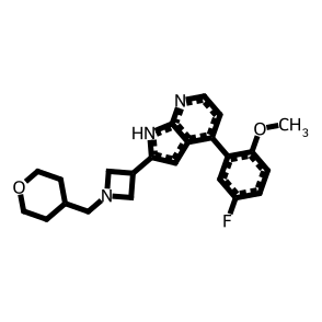 COc1ccc(F)cc1-c1ccnc2[nH]c(C3CN(CC4CCOCC4)C3)cc12